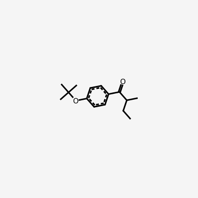 CCC(C)C(=O)c1ccc(OC(C)(C)C)cc1